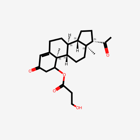 CC(=O)[C@H]1CC[C@H]2[C@@H]3CCC4=CC(=O)CC(OC(=O)CCO)[C@]4(C)[C@H]3CC[C@]12C